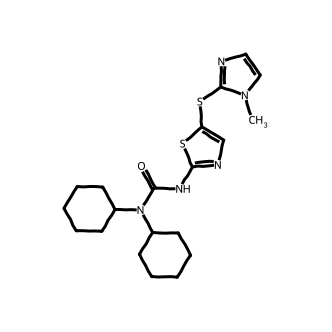 Cn1ccnc1Sc1cnc(NC(=O)N(C2CCCCC2)C2CCCCC2)s1